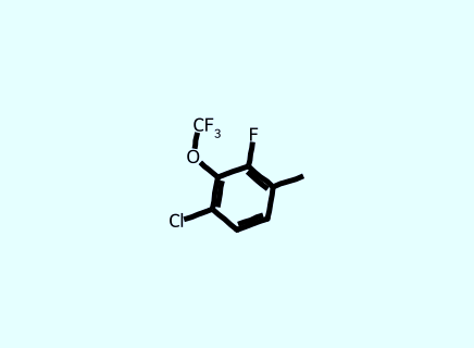 Cc1ccc(Cl)c(OC(F)(F)F)c1F